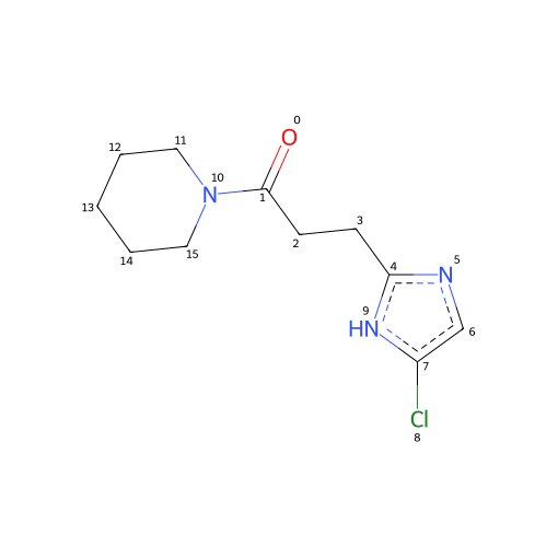 O=C(CCc1ncc(Cl)[nH]1)N1CCCCC1